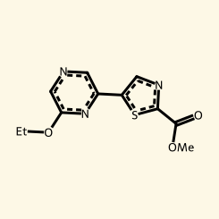 CCOc1cncc(-c2cnc(C(=O)OC)s2)n1